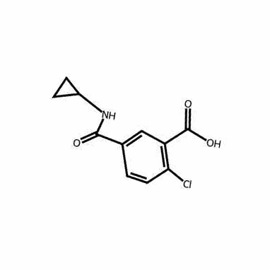 O=C(NC1CC1)c1ccc(Cl)c(C(=O)O)c1